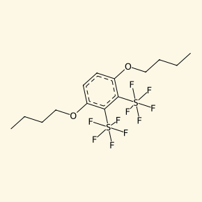 CCCCOc1ccc(OCCCC)c(S(F)(F)(F)(F)F)c1S(F)(F)(F)(F)F